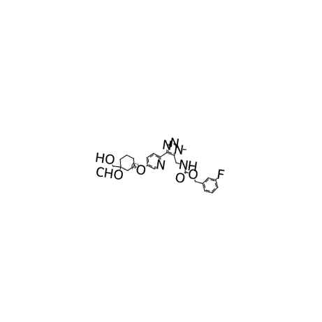 Cn1nnc(-c2ccc(O[C@H]3CCCC(C=O)(CO)C3)cn2)c1CNC(=O)OCc1cccc(F)c1